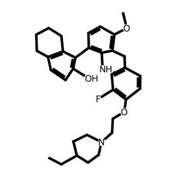 CCC1CCN(CCOc2ccc(Cc3c(OC)ccc(-c4c(O)ccc5c4CCCC5)c3N)cc2F)CC1